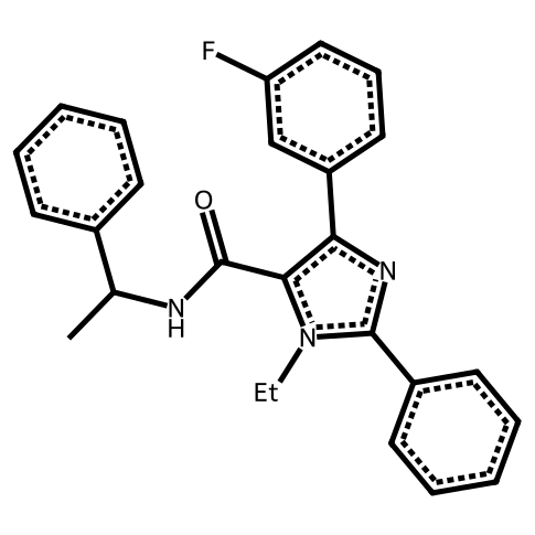 CCn1c(-c2ccccc2)nc(-c2cccc(F)c2)c1C(=O)NC(C)c1ccccc1